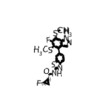 CSc1c(F)c(SC)c2[nH]ncc2c1-c1ccc2nc(NC(=O)[C@@H]3C[C@@H]3F)sc2c1